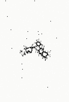 Cc1cc(OCc2cc3cc(F)ccc3nc2-c2ccccc2C)nc(N)n1